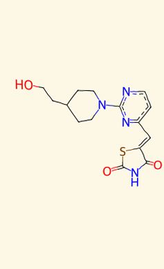 O=C1NC(=O)C(=Cc2ccnc(N3CCC(CCO)CC3)n2)S1